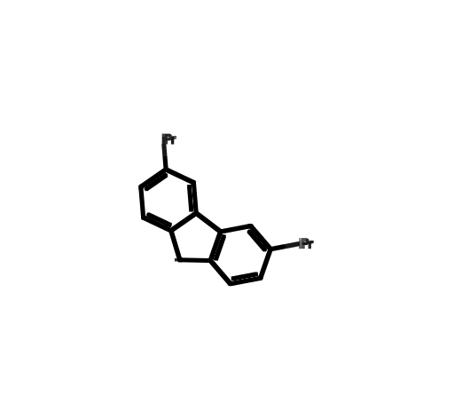 CC(C)c1ccc2c(c1)-c1cc(C(C)C)ccc1[CH]2